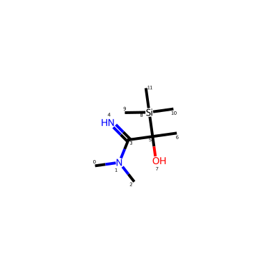 CN(C)C(=N)C(C)(O)[Si](C)(C)C